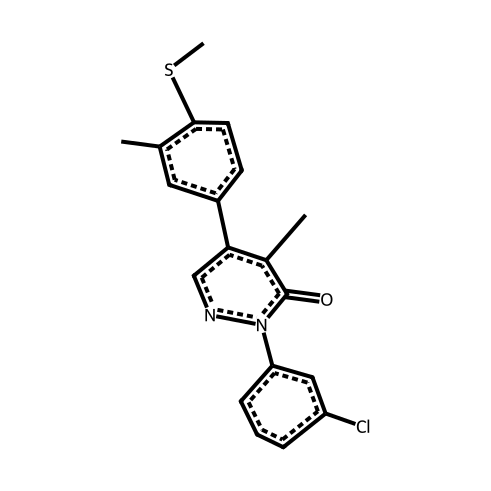 CSc1ccc(-c2cnn(-c3cccc(Cl)c3)c(=O)c2C)cc1C